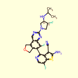 CC(C)N[C@@H]1CN(c2ncc3c4c(c(-c5ncc(F)c6sc(N)c(C#N)c56)c(F)c3n2)COC4)C[C@@H]1F